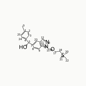 Cc1ccc(C(O)c2ccc3c(cnn3COCCS(C)(C)C)c2)cc1